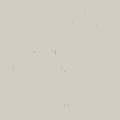 C=Cc1c(N)nc(-c2ccc(F)c(C(F)(F)F)c2)nc1C(=O)OC